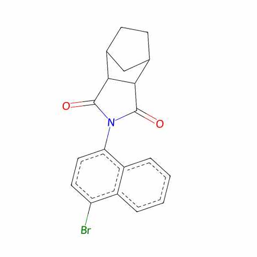 O=C1C2C3CCC(C3)C2C(=O)N1c1ccc(Br)c2ccccc12